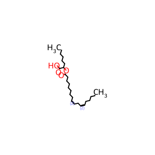 CCCCC/C=C\C/C=C\CCCCCCCC(=O)OC(CCCCCC)C(=O)O